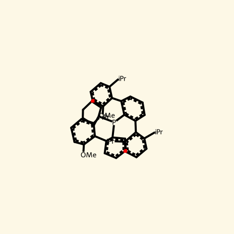 COc1cccc(OC)c1-c1ccccc1P(c1c(-c2c(C(C)C)cccc2C(C)C)cccc1-c1c(C(C)C)cccc1C(C)C)C1CCCCC1